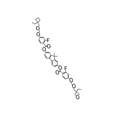 CCC1(COCOc2ccc(C(=O)Oc3ccc4c(c3)C(C)(C)c3cc(OC(=O)c5ccc(OCOCC6(CC)COC6)cc5F)ccc3-4)c(F)c2)CCC1